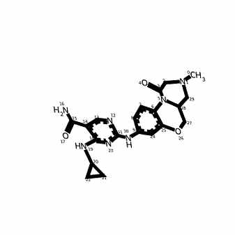 CN1CC(=O)N2c3ccc(Nc4ncc(C(N)=O)c(NC5CC5)n4)cc3OCC2C1